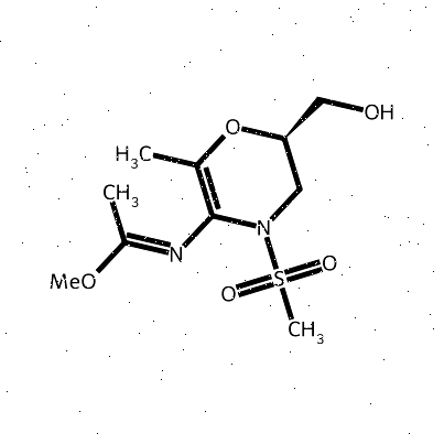 CO/C(C)=N/C1=C(C)O[C@@H](CO)CN1S(C)(=O)=O